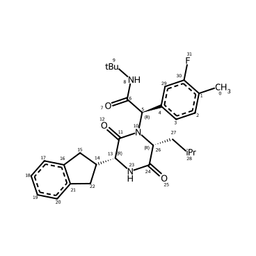 Cc1ccc([C@H](C(=O)NC(C)(C)C)N2C(=O)[C@@H](C3Cc4ccccc4C3)NC(=O)[C@H]2CC(C)C)cc1F